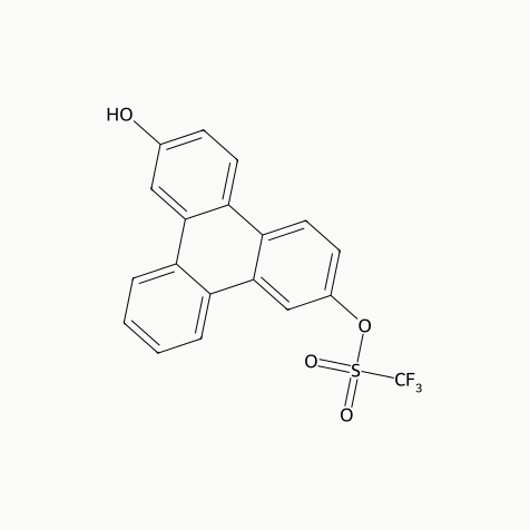 O=S(=O)(Oc1ccc2c3ccc(O)cc3c3ccccc3c2c1)C(F)(F)F